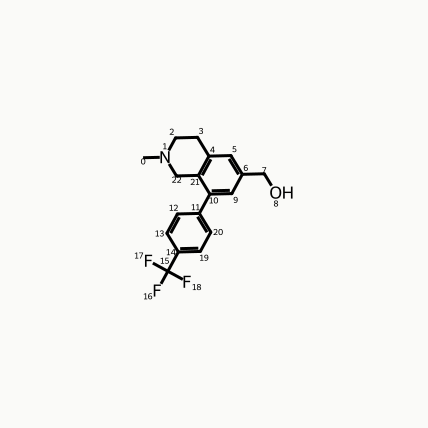 CN1CCc2cc(CO)cc(-c3ccc(C(F)(F)F)cc3)c2C1